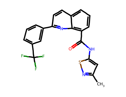 Cc1cc(NC(=O)c2cccc3ccc(-c4cccc(C(F)(F)F)c4)nc23)sn1